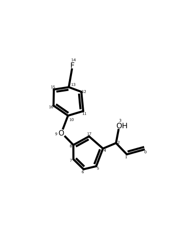 C=CC(O)c1cccc(Oc2ccc(F)cc2)c1